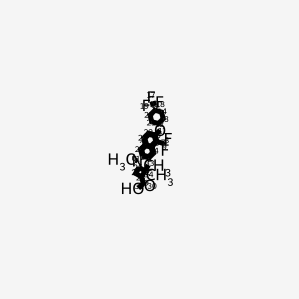 CN(c1ccc2c(C(F)F)c(O[C@H]3CC[C@@H](C(F)(F)F)CC3)ccc2c1)C1CC(C(=O)O)C1(C)C